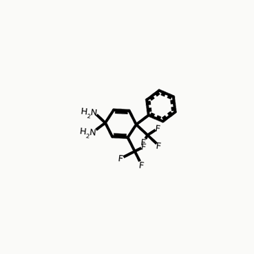 NC1(N)C=CC(c2ccccc2)(C(F)(F)F)C(C(F)(F)F)=C1